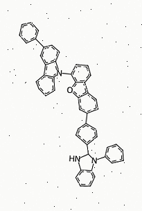 c1ccc(-c2ccc3c(c2)c2ccccc2n3-c2cccc3c2oc2cc(-c4ccc(C5Nc6ccccc6N5c5ccccc5)cc4)ccc23)cc1